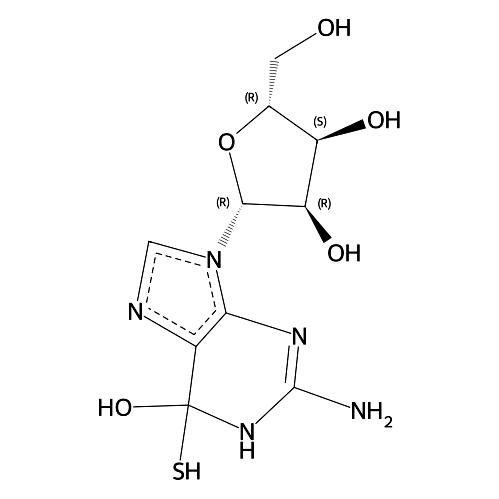 NC1=Nc2c(ncn2[C@@H]2O[C@H](CO)[C@@H](O)[C@H]2O)C(O)(S)N1